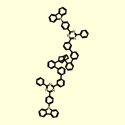 c1ccc(-c2nc(-c3ccc(-n4c5ccccc5c5ccccc54)cc3)nc(-c3cccc(-c4cccc(-c5ccccc5C56CC7CC(c8ccccc8-c8cccc(-c9cccc(-c%10nc(-c%11ccccc%11)nc(-c%11ccc(-n%12c%13ccccc%13c%13ccccc%13%12)cc%11)n%10)c9)c8)(C5)C7C6)c4)c3)n2)cc1